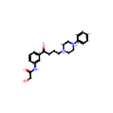 O=C(CO)Nc1cccc(C(=O)CCCN2CCN(c3ccccc3)CC2)c1